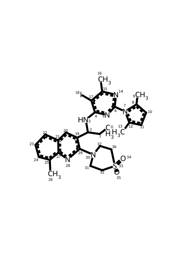 CCC(Nc1nc(-n2c(C)ccc2C)nc(C)c1I)c1cc2cccc(C)c2nc1N1CCS(=O)(=O)CC1